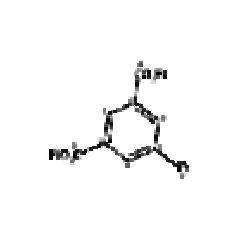 CCOC(=O)c1cc(C(=O)OCC)cc(C(C)C)c1